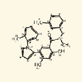 Cc1cccc(CN(C)C(=O)c2cc(-c3ccnn3-c3ccccc3C)c(O)cc2O)c1